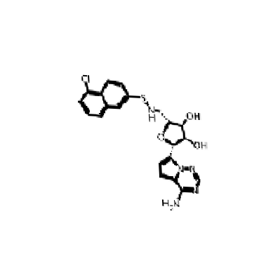 Nc1ncnn2c([C@@H]3O[C@H](CNSc4ccc5c(Cl)cccc5c4)[C@@H](O)[C@H]3O)ccc12